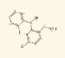 O=C(O)Nc1ccc(Cl)nc1C(O)c1ncccc1F